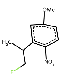 COc1ccc([N+](=O)[O-])c([C](C)CF)c1